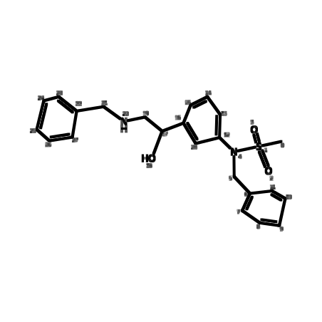 CS(=O)(=O)N(Cc1ccccc1)c1cccc(C(O)CNCc2ccccc2)c1